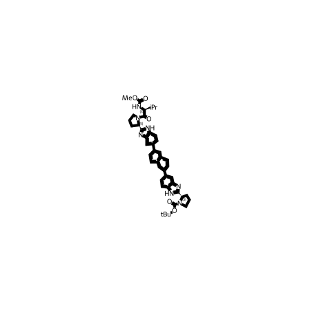 COC(=O)N[C@H](C(=O)N1CCC[C@H]1c1nc2cc(-c3ccc4cc(-c5ccc6[nH]c([C@@H]7CCCN7C(=O)OC(C)(C)C)nc6c5)ccc4c3)ccc2[nH]1)C(C)C